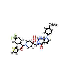 COc1ccc(-n2ccc3c(=O)n(CC4(O)CCN(C(=O)[C@@H]5CCC(F)(F)C[C@H]5c5cccs5)CC4)cnc32)cc1